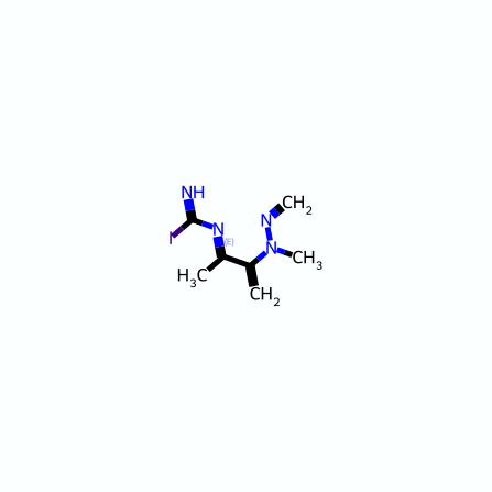 C=NN(C)C(=C)/C(C)=N/C(=N)I